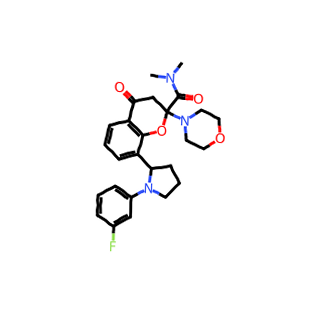 CN(C)C(=O)C1(N2CCOCC2)CC(=O)c2cccc(C3CCCN3c3cccc(F)c3)c2O1